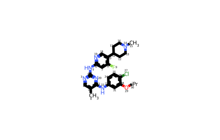 Cc1cnc(Nc2cc(F)c(C3CCN(C)CC3)cn2)nc1Nc1ccc(Cl)c(OC(C)C)c1